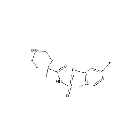 CC1(C(=O)NS(=O)(=O)Cc2ccc(F)cc2F)CCNCC1